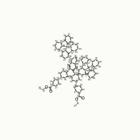 CCOC(=O)c1ccc(-c2ccc3c(c2)c2cc(-c4ccc(C(=O)OCC)cc4)ccc2c2nc4c(-c5cccc6c5-c5ccccc5C65c6ccccc6-c6ccccc65)sc(-c5cccc6c5-c5ccccc5C65c6ccccc6-c6ccccc65)c4nc32)cc1